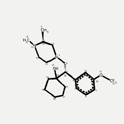 C[C@H]1CN(C[C@H](c2cccc(OC(F)(F)F)c2)C2(O)CCCCC2)CCN1C